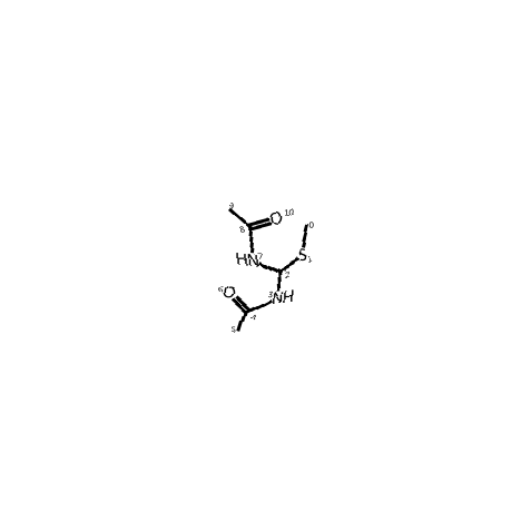 CS[C](NC(C)=O)NC(C)=O